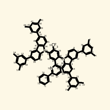 Cc1cc(C)cc(-c2ccc3c(c2)c2cc(-c4cc(C)cc(C)c4)ccc2n3-c2cc(C(F)(F)F)c(-n3c4ccc(-c5cc(C)cc(C)c5)cc4c4cc(-c5cc(C)cc(C)c5)ccc43)cc2-c2cccc(-c3ccccc3)n2)c1